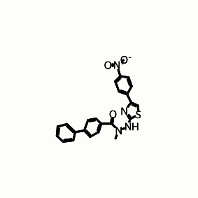 CN(Nc1nc(-c2ccc([N+](=O)[O-])cc2)cs1)C(=O)c1ccc(-c2ccccc2)cc1